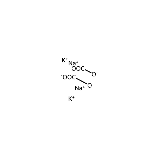 O=C([O-])[O-].O=C([O-])[O-].[K+].[K+].[Na+].[Na+]